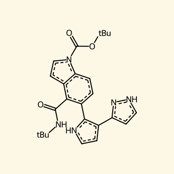 CC(C)(C)NC(=O)c1c(-c2[nH]ccc2-c2cc[nH]n2)ccc2c1ccn2C(=O)OC(C)(C)C